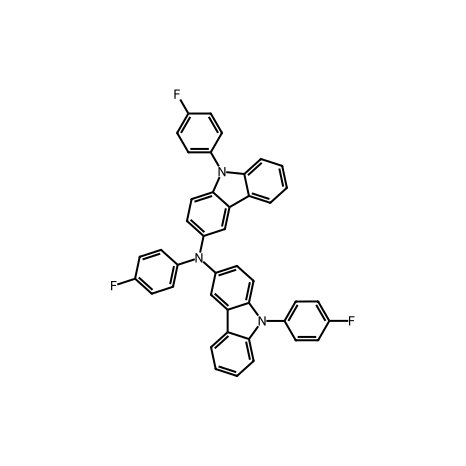 Fc1ccc(N(c2ccc3c(c2)c2ccccc2n3-c2ccc(F)cc2)c2ccc3c(c2)c2ccccc2n3-c2ccc(F)cc2)cc1